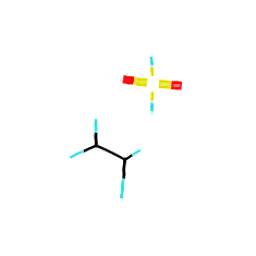 FC(F)C(F)F.O=S(=O)(F)F